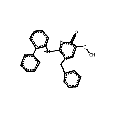 COc1cn(Cc2ccccc2)c(Nc2ccccc2-c2ccccc2)nc1=O